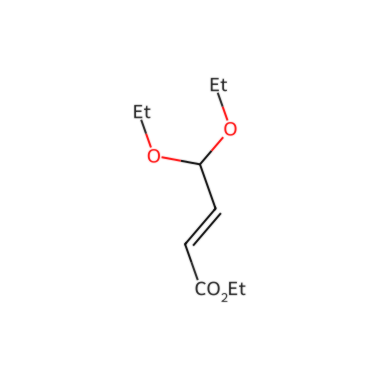 CCOC(=O)C=CC(OCC)OCC